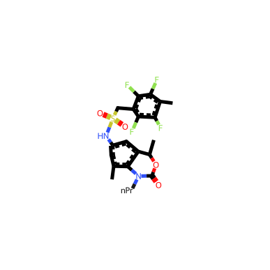 CCCN1C(=O)OC(C)c2cc(NS(=O)(=O)Cc3c(F)c(F)c(C)c(F)c3F)cc(C)c21